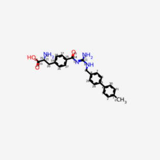 Cc1ccc(-c2ccc(CNC(N)=NC(=O)c3ccc(C[C@H](N)C(=O)O)cc3)cc2)cc1